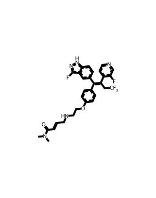 CN(C)C(=O)C=CCNCCOc1ccc(C(=C(CC(F)(F)F)c2ccncc2F)c2ccc3[nH]nc(F)c3c2)cc1